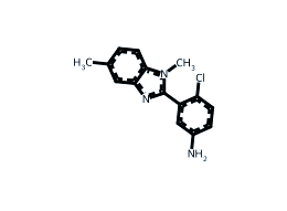 Cc1ccc2c(c1)nc(-c1cc(N)ccc1Cl)n2C